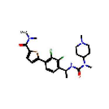 CON(C)C(=O)c1ccc(-c2ccc(C(C)NC(=O)N(C)C3CCN(C)CC3)c(Cl)c2Cl)s1